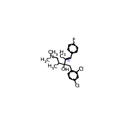 C/C(=C\c1ccc(F)cc1)C(O)(Cc1ccc(Cl)cc1Cl)C(C)CN(C)C